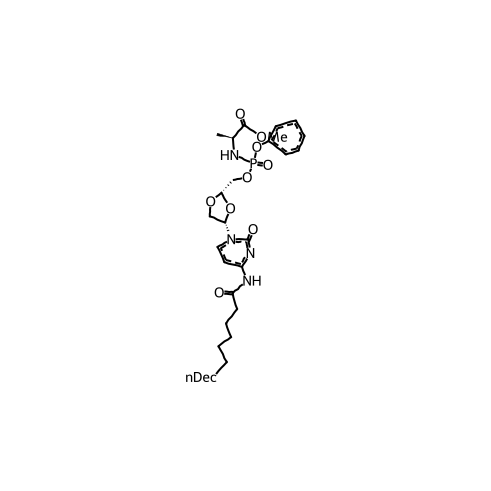 CCCCCCCCCCCCCCCC(=O)Nc1ccn([C@@H]2CO[C@H](COP(=O)(N[C@@H](C)C(=O)OC)Oc3ccccc3)O2)c(=O)n1